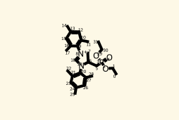 CCOP(=O)(CC1C[N+](c2c(C)cc(C)cc2C)=CN1c1c(C)cc(C)cc1C)OCC